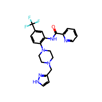 O=C(Nc1cc(C(F)(F)F)ccc1N1CCN(Cc2cc[nH]n2)CC1)c1ccccn1